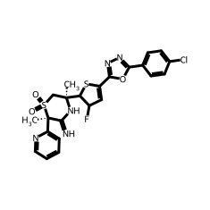 C[C@@]1(c2ccccn2)C(=N)N[C@](C)(C2SC(c3nnc(-c4ccc(Cl)cc4)o3)=CC2F)CS1(=O)=O